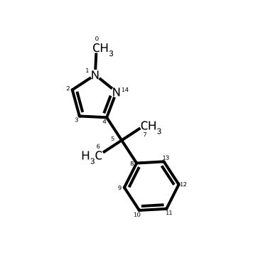 Cn1ccc(C(C)(C)c2ccccc2)n1